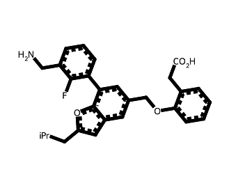 CC(C)Cc1cc2cc(COc3ccccc3CC(=O)O)cc(-c3cccc(CN)c3F)c2o1